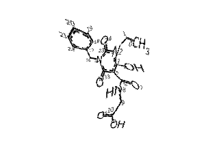 CCn1c(O)c(C(=O)NCC(=O)O)c(=O)n(Cc2ccccc2)c1=O